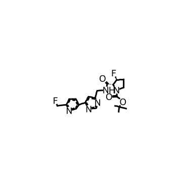 CC(C)(C)OC(=O)N1CC[C@H](F)[C@H]1C(=O)NCc1cc(-c2ccc(CF)nc2)ncn1